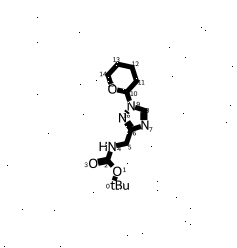 CC(C)(C)OC(=O)NCc1ncn(C2CCCCO2)n1